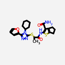 CC(Sc1nnc(-c2cc#co2)n1C1CCCCC1)C(=O)Nc1sc2c(c1C(N)=O)CCC2